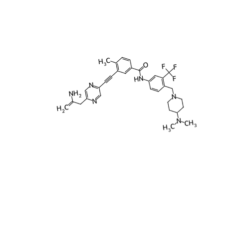 C=C(N)Cc1cnc(C#Cc2cc(C(=O)Nc3ccc(CN4CCC(N(C)C)CC4)c(C(F)(F)F)c3)ccc2C)cn1